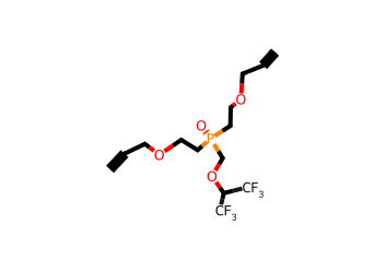 C#CCOCCP(=O)(CCOCC#C)COC(C(F)(F)F)C(F)(F)F